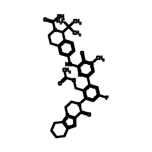 CC(=O)OCc1c(-c2cn(C)c(=O)c(Nc3ccc4c(c3)CCN(C(=O)O)C4C(C)(C)C)n2)cc(F)cc1N1CCn2c(cc3c2CCCC3)C1=O